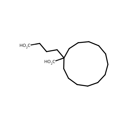 O=C(O)CCCC1(C(=O)O)CCCCCCCCCCCC1